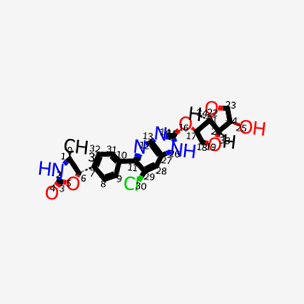 C[C@H]1NC(=O)O[C@H]1c1ccc(-c2nc3nc(O[C@@H]4CO[C@H]5[C@@H]4OC[C@H]5O)[nH]c3cc2Cl)cc1